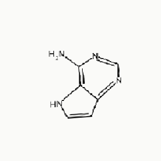 Nc1ncnc2cc[nH]c12